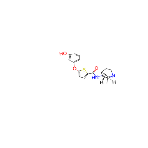 C[C@H]1[C@H](NC(=O)c2ccc(Oc3cccc(O)c3)s2)C2CCN1CC2